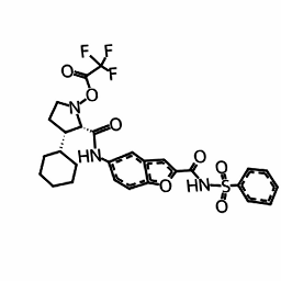 O=C(NS(=O)(=O)c1ccccc1)c1cc2cc(NC(=O)[C@@H]3[C@H](C4CCCCC4)CCN3OC(=O)C(F)(F)F)ccc2o1